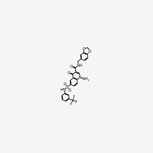 Nn1cc(C(=O)NCc2ccc3c(c2)OCO3)c(=O)c2cc(S(=O)(=O)Nc3cccc(C(F)(F)F)c3)ccc21